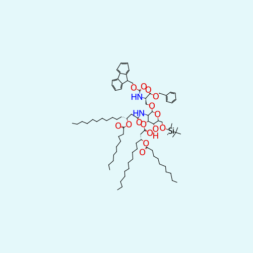 CCCCCCCCCCC[C@H](CC(=O)NC1C(OC[C@@H](NC(=O)OCC2c3ccccc3-c3ccccc32)C(=O)OCc2ccccc2)OC(CO[Si](C)(C)C(C)(C)C)C(O)C1OC(=O)C[C@@H](CCCCCCCCCCC)OC(=O)CCCCCCCCC)OC(=O)CCCCCCCCC